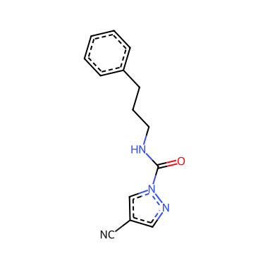 N#Cc1cnn(C(=O)NCCCc2ccccc2)c1